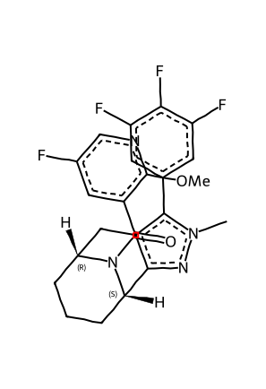 COc1ncc(F)cc1C(=O)N1[C@@H]2CCC[C@H]1c1nn(C)c(-c3cc(F)c(F)c(F)c3)c1C2